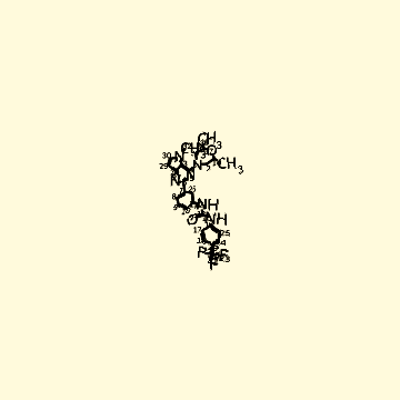 CC1CN(c2nc(-c3cccc(NC(=O)Nc4ccc(C(F)(F)F)cc4)c3)nc3ccn(C)c23)CC(C)O1